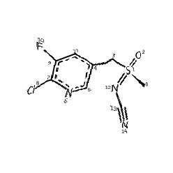 C[S@](=O)(Cc1cnc(Cl)c(F)c1)=NC#N